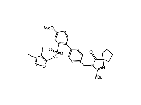 CCCCC1=NC2(CCCC2)C(=O)N1Cc1ccc(-c2ccc(OC)cc2S(=O)(=O)Nc2onc(C)c2C)cc1